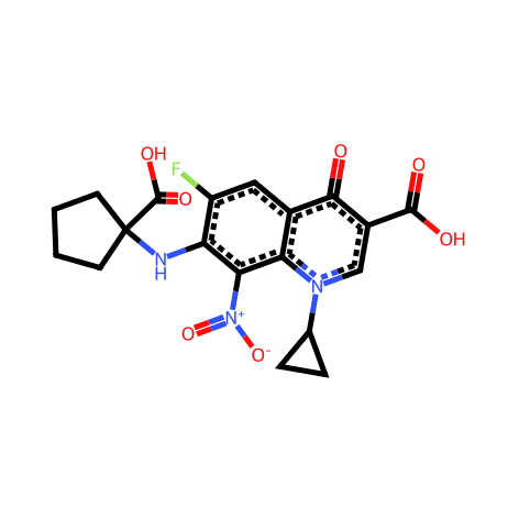 O=C(O)c1cn(C2CC2)c2c([N+](=O)[O-])c(NC3(C(=O)O)CCCC3)c(F)cc2c1=O